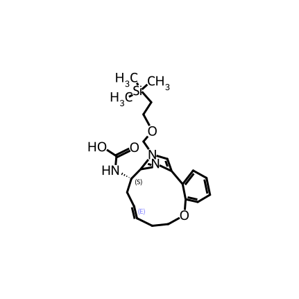 C[Si](C)(C)CCOCn1cc2nc1[C@@H](NC(=O)O)C/C=C/CCOc1ccccc1-2